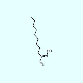 C=CC(CCCCCCCCC)=NO